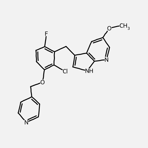 COc1cnc2[nH]cc(Cc3c(F)ccc(OCc4ccncc4)c3Cl)c2c1